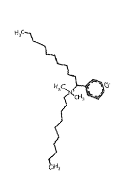 CCCCCCCCCCC(c1ccccc1)[N+](C)(C)CCCCCCCCCC.[Cl-]